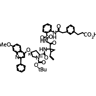 C=CC1CC1(NC(=O)[C@@H]1C[C@@H](Oc2cc(-c3ccccc3)nc3cc(OC)ccc23)CN1C(=O)OC(C)(C)C)C(=O)NS(=O)(=O)c1ccccc1NC(=O)Cc1cccc(CCC(=O)O)c1